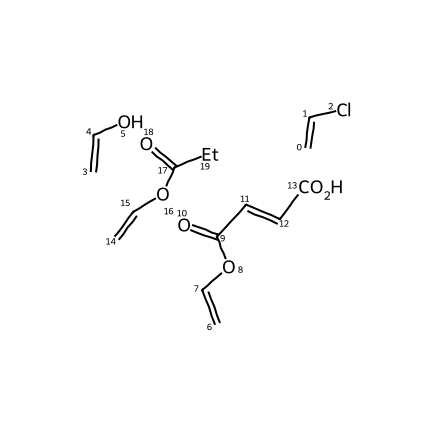 C=CCl.C=CO.C=COC(=O)C=CC(=O)O.C=COC(=O)CC